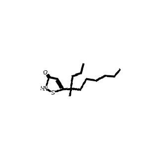 CCCCCCC(C)(CCC)c1cc(=O)[nH]s1